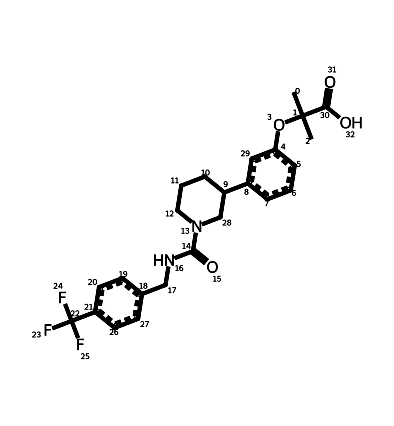 CC(C)(Oc1cccc(C2CCCN(C(=O)NCc3ccc(C(F)(F)F)cc3)C2)c1)C(=O)O